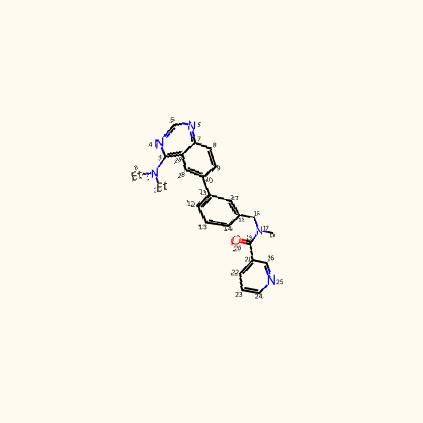 CCN(CC)c1ncnc2ccc(-c3cccc(CN(C)C(=O)c4cccnc4)c3)cc12